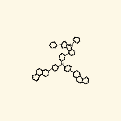 c1ccc(-c2ccc3c(c2)c2c(-c4cccc(N(c5ccc(-c6ccc7c(ccc8ccccc87)c6)cc5)c5ccc(-c6ccc7c(ccc8ccccc87)c6)cc5)c4)cccc2n3-c2ccccc2)cc1